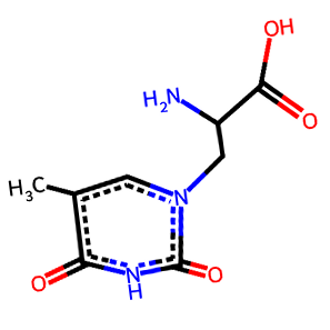 Cc1cn(CC(N)C(=O)O)c(=O)[nH]c1=O